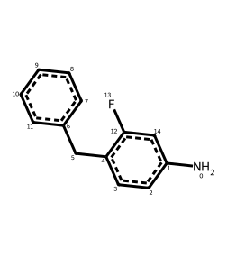 Nc1ccc(Cc2ccccc2)c(F)c1